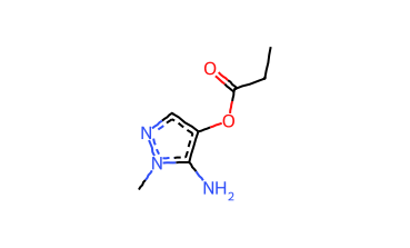 CCC(=O)Oc1cnn(C)c1N